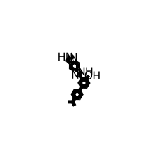 CC(C)c1ccc(-c2ccc(O)c(-c3nc4cc5c[nH]nc5cc4[nH]3)c2)cc1